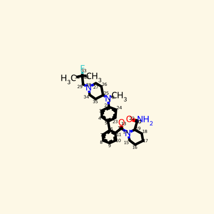 CN(c1ccc(-c2ccccc2C(=O)N2CCCCC2C(N)=O)cc1)C1CCN(CC(C)(C)F)CC1